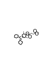 COC(=O)CCC(=O)Oc1c(C)cc([S+](c2ccccc2)c2ccccc2)cc1C